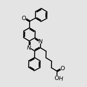 O=C(O)CCCCc1nc2cc(C(=O)c3ccccc3)ccc2nc1-c1ccccc1